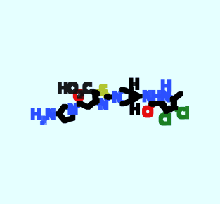 Cc1[nH]c(C(=O)NC2[C@H]3CN(c4nc(CC(=O)N5CCC(N)C5)c(C(=O)O)s4)C[C@@H]23)c(Cl)c1Cl